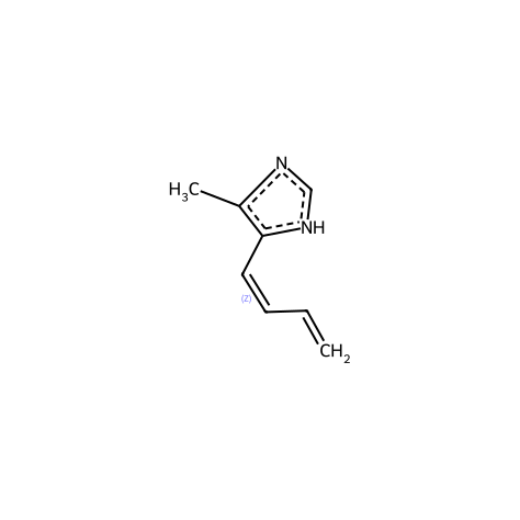 C=C/C=C\c1[nH]cnc1C